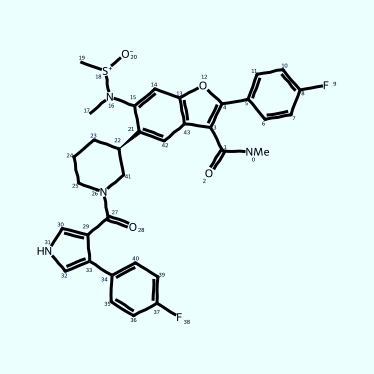 CNC(=O)c1c(-c2ccc(F)cc2)oc2cc(N(C)[S+](C)[O-])c([C@@H]3CCCN(C(=O)c4c[nH]cc4-c4ccc(F)cc4)C3)cc12